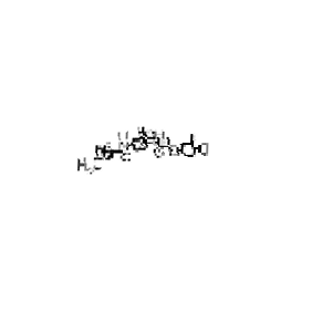 Cc1cc(C(=O)NC23CCC(NC(=O)COc4ccc(Cl)c(F)c4)(CC2)[C@@H](O)C3)sn1